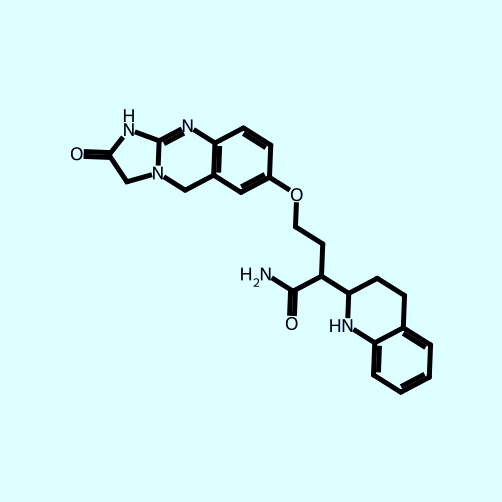 NC(=O)C(CCOc1ccc2c(c1)CN1CC(=O)NC1=N2)C1CCc2ccccc2N1